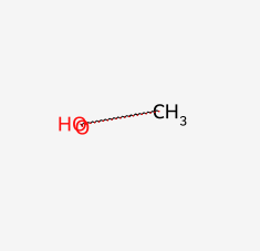 CCCCCCCCCC/C=C/C/C=C/CCCCCCCCCCCCCCCCCCCCCC(=O)O